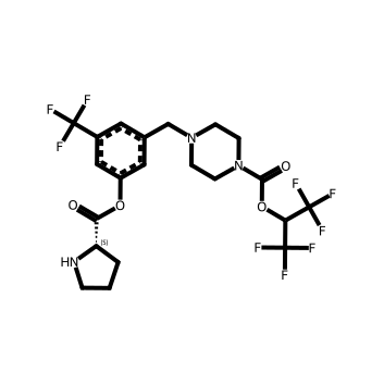 O=C(Oc1cc(CN2CCN(C(=O)OC(C(F)(F)F)C(F)(F)F)CC2)cc(C(F)(F)F)c1)[C@@H]1CCCN1